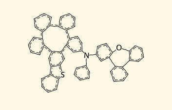 c1ccc(N(c2ccc3c(c2)-c2ccccc2-c2ccccc2O3)c2ccc3c4ccccc4c4ccccc4c4ccccc4c4cc5c(cc4c3c2)sc2ccccc25)cc1